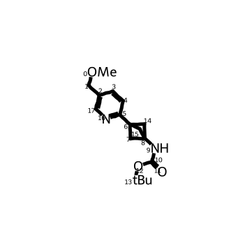 COCc1ccc(C23CC(NC(=O)OC(C)(C)C)(C2)C3)nc1